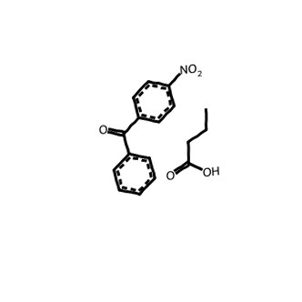 CCCC(=O)O.O=C(c1ccccc1)c1ccc([N+](=O)[O-])cc1